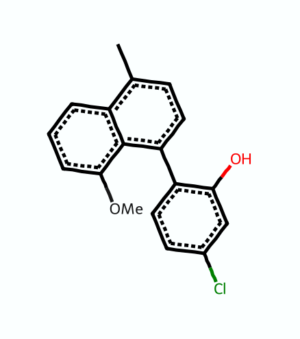 COc1cccc2c(C)ccc(-c3ccc(Cl)cc3O)c12